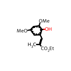 CCOC(=O)/C(C)=C/c1cc(OC)cc(OC)c1O